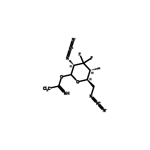 C[C@@H]1[C@@H](CN=[N+]=[N-])OC(OC(=N)C(Cl)(Cl)Cl)[C@H](N=[N+]=[N-])C1(F)F